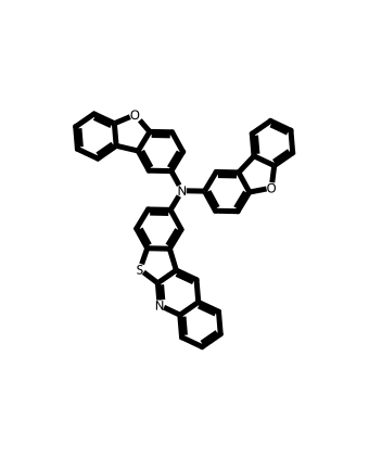 c1ccc2nc3sc4ccc(N(c5ccc6oc7ccccc7c6c5)c5ccc6oc7ccccc7c6c5)cc4c3cc2c1